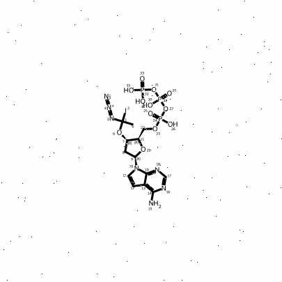 CC(I)(N=[N+]=[N-])O[C@@H]1C[C@H](n2ccc3c(N)ncnc32)O[C@@H]1COP(=O)(O)OP(=O)(O)OP(=O)(O)O